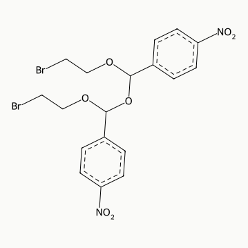 O=[N+]([O-])c1ccc(C(OCCBr)OC(OCCBr)c2ccc([N+](=O)[O-])cc2)cc1